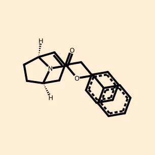 O=C(OCc1ccccc1)N1[C@@H]2CC[C@H]1C=C(Cc1ccccc1)C2